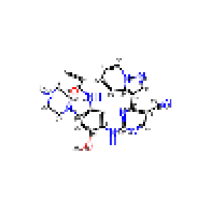 C=CC(=O)Nc1cc(Nc2ncc(C#N)c(-c3cnn4ccccc34)n2)c(OC)cc1N1CCN(C)CC1